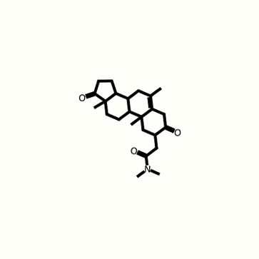 CC1=C2CC(=O)C(CC(=O)N(C)C)CC2(C)C2CCC3(C)C(=O)CCC3C2C1